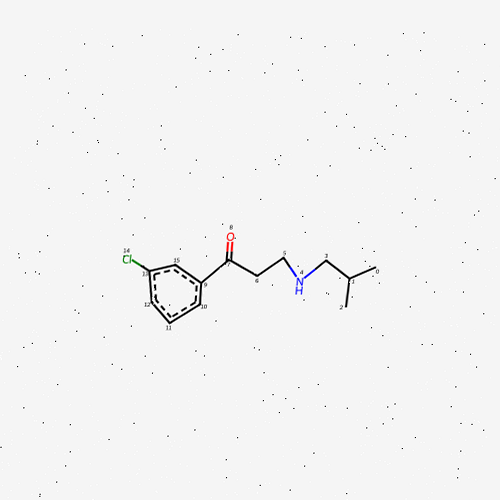 CC(C)CNCCC(=O)c1cccc(Cl)c1